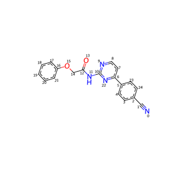 N#Cc1ccc(-c2ccnc(NC(=O)COc3ccccc3)n2)cc1